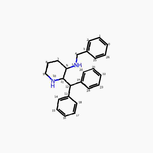 c1ccc(CNC2CCCNC2C(c2ccccc2)c2ccccc2)cc1